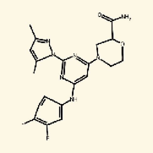 Cc1cc(C)n(-c2nc(Nc3ccc(F)c(F)c3)cc(N3CCOC(C(N)=O)C3)n2)n1